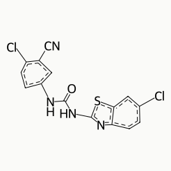 N#Cc1cc(NC(=O)Nc2nc3ccc(Cl)cc3s2)ccc1Cl